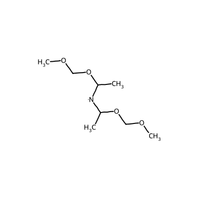 COCOC(C)[N]C(C)OCOC